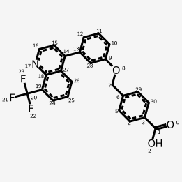 O=C(O)c1ccc(COc2cccc(-c3ccnc4c(C(F)(F)F)cccc34)c2)cc1